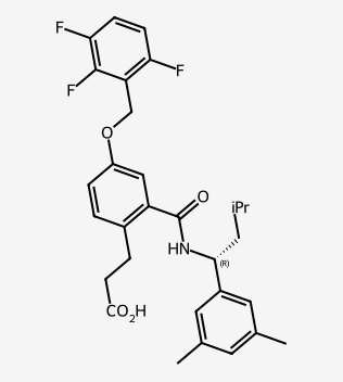 Cc1cc(C)cc([C@@H](CC(C)C)NC(=O)c2cc(OCc3c(F)ccc(F)c3F)ccc2CCC(=O)O)c1